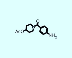 CC(=O)OC1CCN(C(=O)c2ccc(N)cc2)CC1